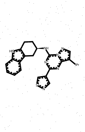 CC(C)c1cnn2c(N[C@@H]3CCc4[nH]c5ccccc5c4C3)nc(-c3cnsc3)nc12